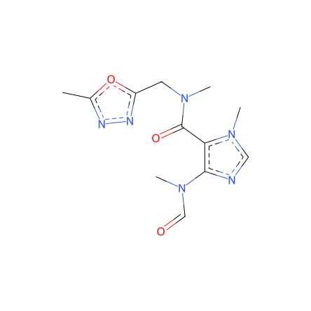 Cc1nnc(CN(C)C(=O)c2c(N(C)C=O)ncn2C)o1